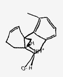 Cc1cccc2c1[C@@]13C=CCC[C@H]1[C@@H](C2)[NH+]([O-])CC3